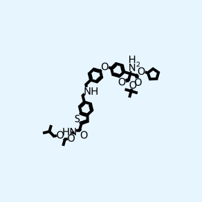 CC(C)COC(C)ONC(=O)c1cc2ccc(CNCc3ccc(Oc4ccc([C@](N)(C(=O)OC5CCCC5)C(=O)OC(C)(C)C)cc4)cc3)cc2s1